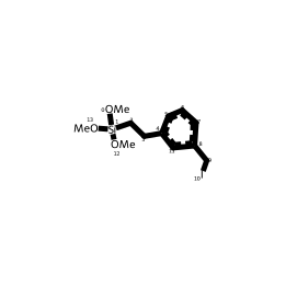 CO[Si](CCc1cccc(CI)c1)(OC)OC